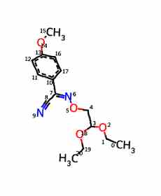 CCOC(CON=C(C#N)c1ccc(OC)cc1)OCC